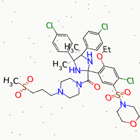 CCOc1cc(Cl)c(S(=O)(=O)N2CCOCC2)cc1C1(C(=O)N2CCN(CCCS(C)(=O)=O)CC2)N[C@@](C)(c2ccc(Cl)cc2)[C@@](C)(c2ccc(Cl)cc2)N1